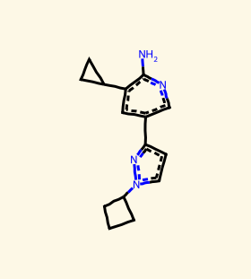 Nc1ncc(-c2ccn(C3CCC3)n2)cc1C1CC1